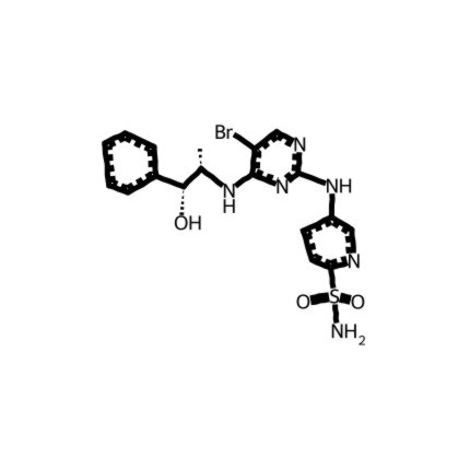 C[C@H](Nc1nc(Nc2ccc(S(N)(=O)=O)nc2)ncc1Br)[C@H](O)c1ccccc1